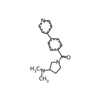 CN(C)C1CCN(C(=O)c2ccc(-c3ccncc3)cc2)C1